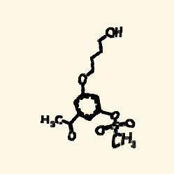 CC(=O)c1cc(OCCCCO)cc(OS(C)(=O)=O)c1